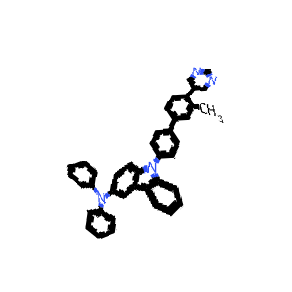 Cc1cc(-c2ccc(-n3c4c(c5cc(N(c6ccccc6)c6ccccc6)ccc53)=C=C=CC=4)cc2)ccc1-c1cncnc1